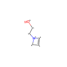 OCCN1C=CC1